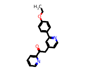 CCOc1ccc(-c2cc(CC(=O)c3ccccn3)ccn2)cc1